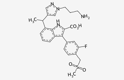 CC(c1cnn(CCCN)c1)c1cccc2c(-c3ccc(CS(C)(=O)=O)c(F)c3)c(C(=O)O)[nH]c12